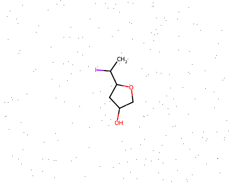 [CH2]C(I)C1CC(O)CO1